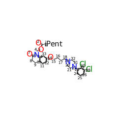 CCCC(C)C(=O)OCN1C(=O)CCc2ccc(OCCCCN3CCN(c4cccc(Cl)c4Cl)CC3)cc21